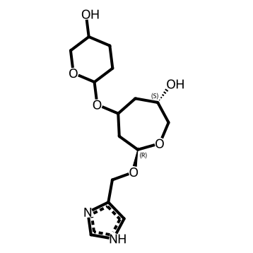 OC1CCC(OC2C[C@H](O)CO[C@@H](OCc3c[nH]cn3)C2)OC1